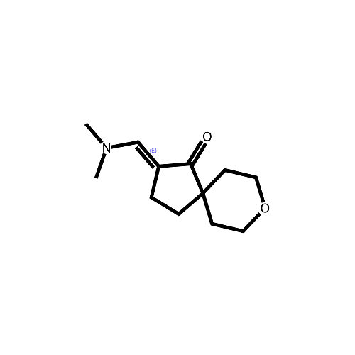 CN(C)/C=C1\CCC2(CCOCC2)C1=O